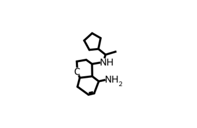 CC(NC1CCCC2CC=CC(N)C21)C1CCCC1